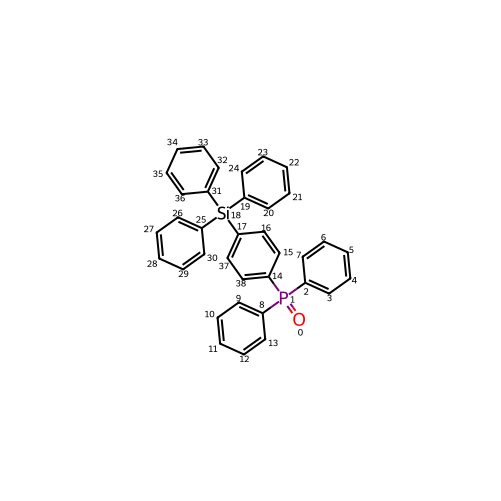 O=P(c1ccccc1)(c1ccccc1)c1ccc([Si](c2ccccc2)(c2ccccc2)c2ccccc2)cc1